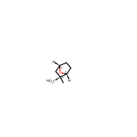 C[C@]1(C(=O)O)C[C@@H]2CC[C@H]1O2